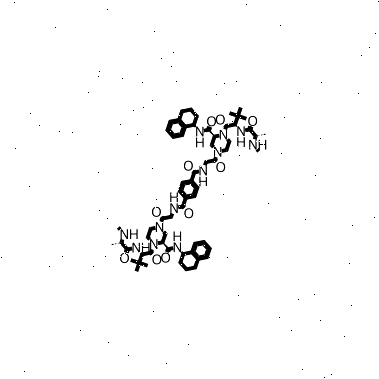 CN[C@@H](C)C(=O)N[C@H](C(=O)N1CCN(C(=O)CNC(=O)c2ccc(C(=O)NCC(=O)N3CCN(C(=O)[C@@H](NC(=O)[C@H](C)NC)C(C)(C)C)[C@H](C(=O)N[C@@H]4CCCc5ccccc54)C3)cc2)C[C@H]1C(=O)N[C@@H]1CCCc2ccccc21)C(C)(C)C